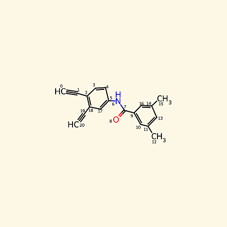 C#Cc1ccc(NC(=O)c2cc(C)cc(C)c2)cc1C#C